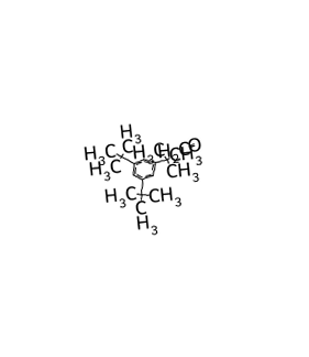 C=O.CC(C)(C)c1cc(C(C)(C)C)cc(C(C)(C)C)c1